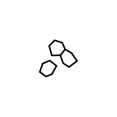 C1CCC2CCCCC2C1.C1CCCCC1